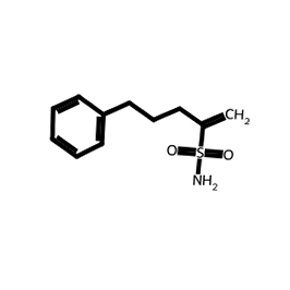 C=C(CCCc1ccccc1)S(N)(=O)=O